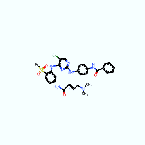 CC(C)S(=O)(=O)c1ccccc1Nc1nc(Nc2ccc(NC(=O)c3ccccc3)cc2)ncc1Cl.CN(C)C/C=C/C(N)=O